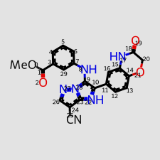 COC(=O)c1cccc(Nc2c(-c3ccc4c(c3)NC(=O)CO4)[nH]c3c(C#N)cnn23)c1